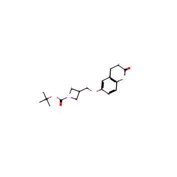 CC(C)(C)OC(=O)N1CC(COc2ccc3c(c2)CCC(=O)N3)C1